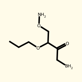 BCC(=O)C(CON)OCCC